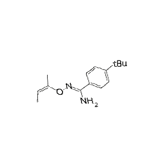 C/C=C(/C)O/N=C(\N)c1ccc(C(C)(C)C)cc1